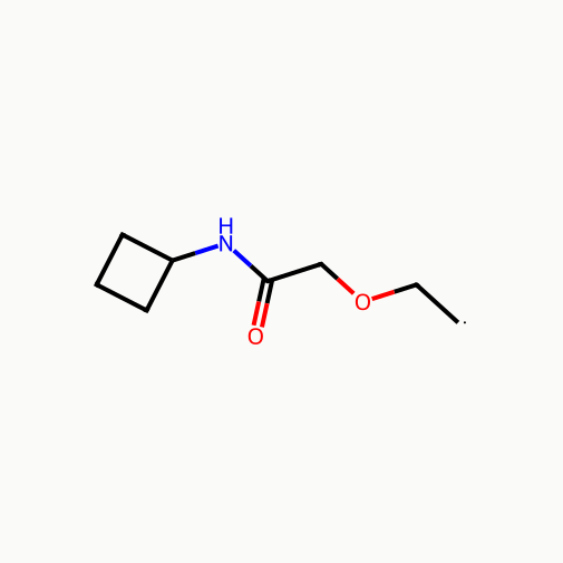 [CH2]COCC(=O)NC1CCC1